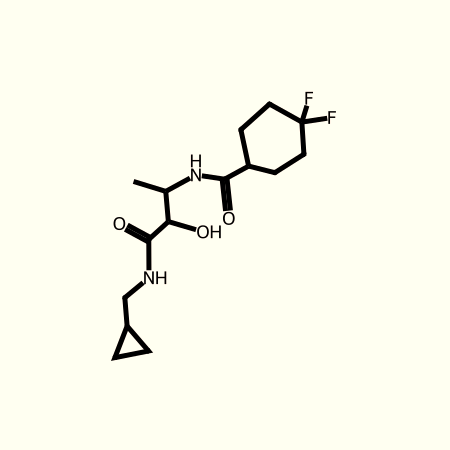 CC(NC(=O)C1CCC(F)(F)CC1)C(O)C(=O)NCC1CC1